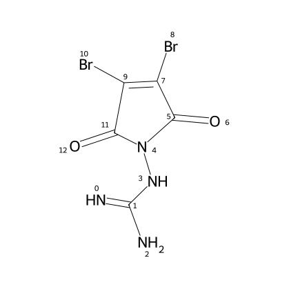 N=C(N)NN1C(=O)C(Br)=C(Br)C1=O